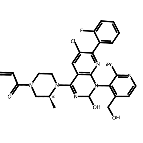 C=CC(=O)N1CCN(C2=NC(O)N(c3c(CO)ccnc3C(C)C)c3nc(-c4ccccc4F)c(Cl)cc32)[C@@H](C)C1